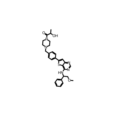 COCC(Nc1ncnc2cc(-c3ccc(CN4CCN(C(=O)C(C)O)CC4)cc3)sc12)c1ccccc1